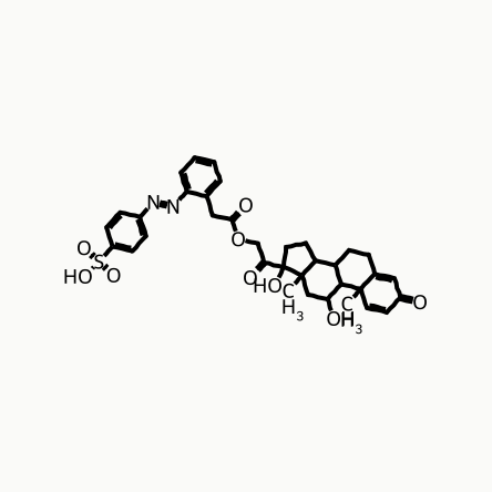 CC12C=CC(=O)C=C1CCC1C2C(O)CC2(C)C1CCC2(O)C(=O)COC(=O)Cc1ccccc1/N=N/c1ccc(S(=O)(=O)O)cc1